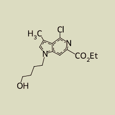 CCOC(=O)c1cc2c(c(C)cn2CCCCO)c(Cl)n1